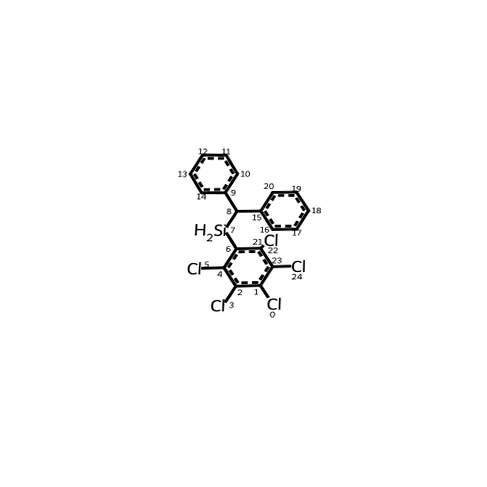 Clc1c(Cl)c(Cl)c([SiH2]C(c2ccccc2)c2ccccc2)c(Cl)c1Cl